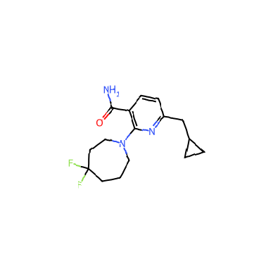 NC(=O)c1ccc(CC2CC2)nc1N1CCCC(F)(F)CC1